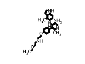 CCOCCNCCOc1ccc(-c2c(C)ncc(N)c2Nc2ccc3[nH]ccc3c2C)cc1